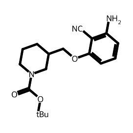 CC(C)(C)OC(=O)N1CCCC(COc2cccc(N)c2C#N)C1